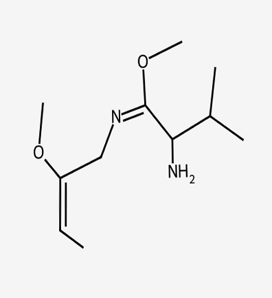 C/C=C(\C/N=C(/OC)C(N)C(C)C)OC